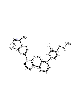 C/C=C(/C=O)c1ccc(-c2cccc(-c3cccc(-c4ccc(COC(C)(C)C)c(C)n4)c3Cl)c2Cl)nc1C